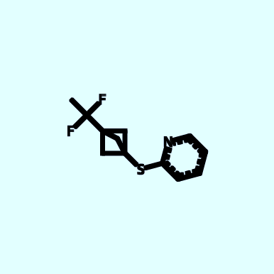 CC(F)(F)C12CC(Sc3ccccn3)(C1)C2